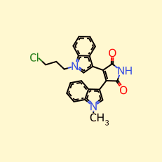 Cn1cc(C2=C(c3cn(CCCCl)c4ccccc34)C(=O)NC2=O)c2ccccc21